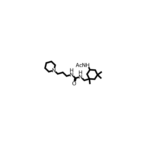 CC(=O)NC1CC(C)(C)CC(C)(CNC(=O)NCCCN2CCCCC2)C1